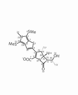 CSc1c2sc(C3=C(C(=O)[O-])N4C(=O)[C@H]([C@@H](C)O)[C@H]4[C@H]3C)c[n+]2c(SC)n1C